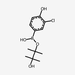 CC(C)(O)C(C)(C)OB(O)c1ccc(O)c(Cl)c1